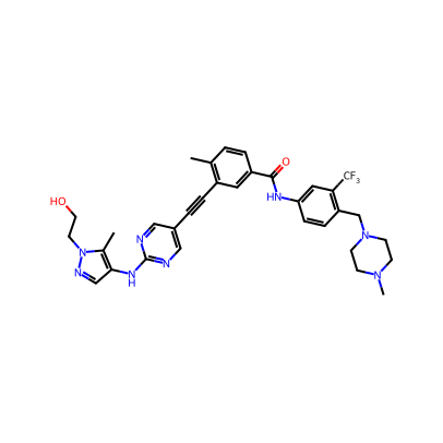 Cc1ccc(C(=O)Nc2ccc(CN3CCN(C)CC3)c(C(F)(F)F)c2)cc1C#Cc1cnc(Nc2cnn(CCO)c2C)nc1